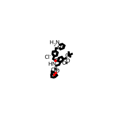 COc1c(CC(NC(=O)Cc2ccc(C[n+]3ccccc3N)cc2)B2OC3CC4CC(C4(C)C)C3(C)O2)cccc1C(=O)OC(C)(C)C.[Cl-]